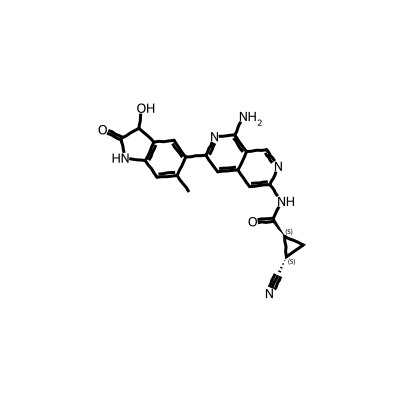 Cc1cc2c(cc1-c1cc3cc(NC(=O)[C@H]4C[C@@H]4C#N)ncc3c(N)n1)C(O)C(=O)N2